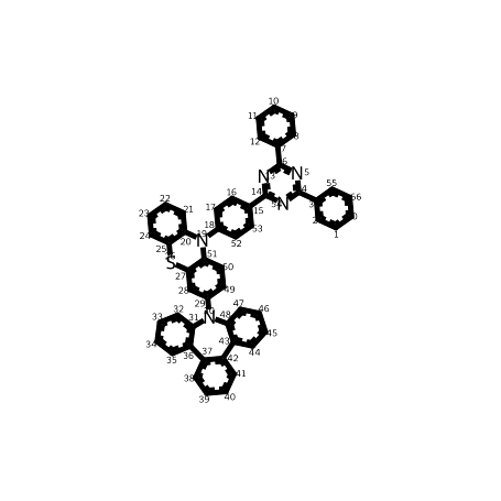 c1ccc(-c2nc(-c3ccccc3)nc(-c3ccc(N4c5ccccc5Sc5cc(N6c7ccccc7-c7ccccc7-c7ccccc76)ccc54)cc3)n2)cc1